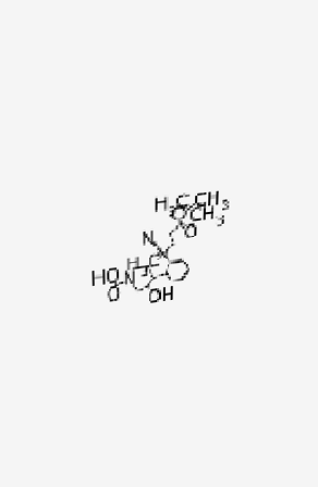 CC(C)(C)OC(=O)CC[C@@](C)(C#N)c1ccccc1C1CCN(C(=O)O)CC1O